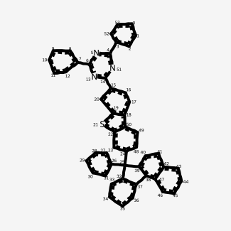 c1ccc(-c2nc(-c3ccccc3)nc(-c3ccc4c(c3)sc3cc(C5(c6ccccc6)c6ccccc6-c6c5ccc5ccccc65)ccc34)n2)cc1